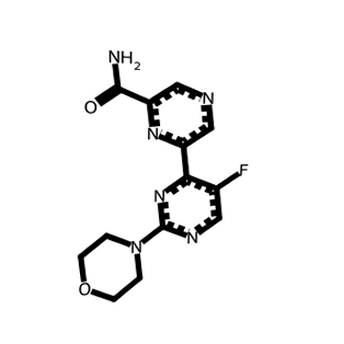 NC(=O)c1cncc(-c2nc(N3CCOCC3)ncc2F)n1